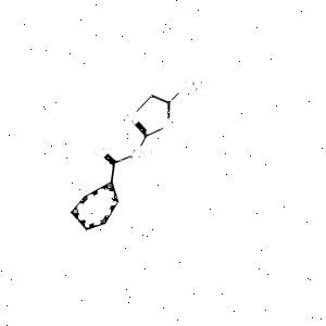 CSC1CN=C(NC(=O)c2ccccc2)S1